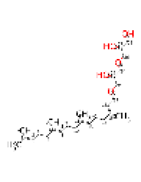 CC(C)=CCC/C(C)=C/CC/C(C)=C/CCC(C)=CCOCC(O)COCC(O)CO